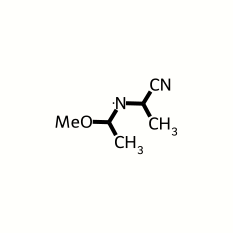 COC(C)[N]C(C)C#N